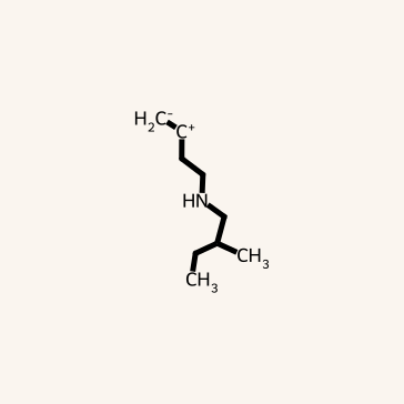 [CH2-][CH+]CCNCC(C)CC